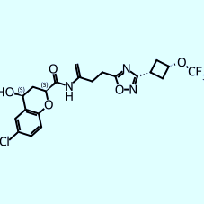 C=C(CCc1nc([C@H]2C[C@@H](OC(F)(F)F)C2)no1)NC(=O)[C@@H]1C[C@H](O)c2cc(Cl)ccc2O1